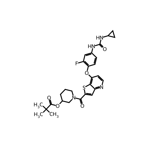 CC(C)(C)C(=O)OC1CCCN(C(=O)c2cc3nccc(Oc4ccc(NC(=O)NC5CC5)cc4F)c3s2)C1